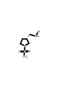 CCNC[C@H]1CCN(S(C)(=O)=O)C1